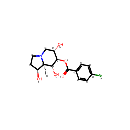 O=C(O[C@H]1[C@H](O)[C@H]2[C@@H](O)CCN2C[C@@H]1O)c1ccc(Br)cc1